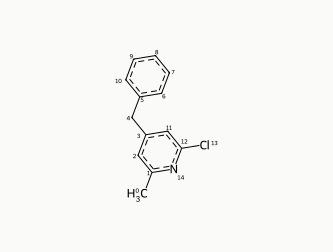 Cc1cc(Cc2ccccc2)cc(Cl)n1